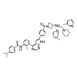 Cc1cccnc1[C@H]1CCC[C@@H](c2ncccc2C)N1CCNC1CN(C(=O)c2ccc(-c3cc4c(-c5cccc(NC(=O)c6ccc(C(C)C)cc6)c5C)ncnc4[nH]3)cc2)C1